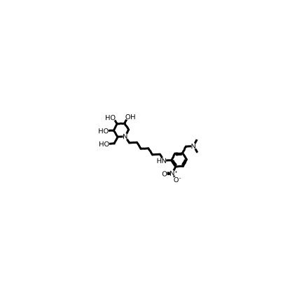 CN(C)Cc1ccc([N+](=O)[O-])c(NCCCCCCN2CC(O)C(O)C(O)C2CO)c1